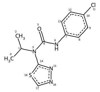 CC(C)N(C(=O)Nc1ccc(Cl)cc1)c1nncs1